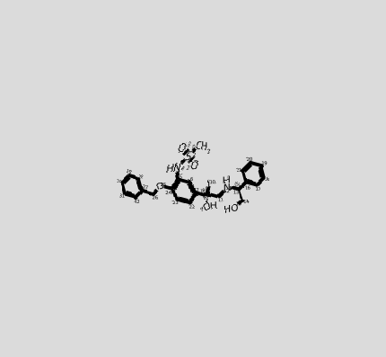 CS(=O)(=O)Nc1cc([C@@](O)(I)CN[C@H](CO)c2ccccc2)ccc1OCc1ccccc1